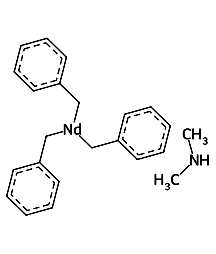 CNC.c1ccc([CH2][Nd]([CH2]c2ccccc2)[CH2]c2ccccc2)cc1